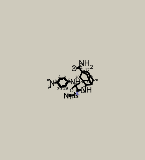 CN(C)c1ccc(NC(C)(C)/C(=N\C#N)NC2C3CC4CC2CC(C(N)=O)(C4)C3)cc1